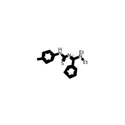 CCN(CC)/C(=N/C(=S)Nc1ccc(C)cc1)c1ccccc1